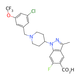 Cc1nn(C2CCN(Cc3cc(Cl)cc(OC(F)(F)F)c3)CC2)c2cc(F)c(C(=O)O)cc12